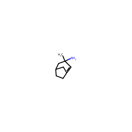 CC1(N)C=C2CCC(C2)C1